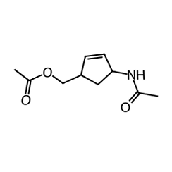 CC(=O)NC1C=CC(COC(C)=O)C1